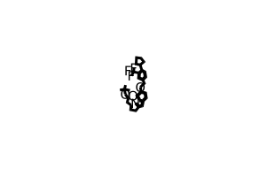 CC(C)(C)OC(=O)CC1CCc2cc3ccc(OCc4ccc(C5CCCC5)c(C(F)(F)F)c4)cc3n21